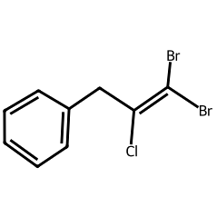 ClC(Cc1ccccc1)=C(Br)Br